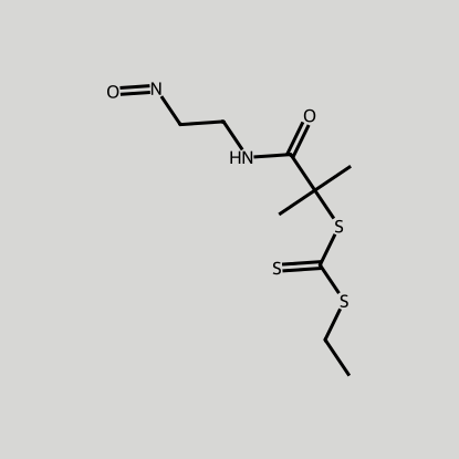 CCSC(=S)SC(C)(C)C(=O)NCCN=O